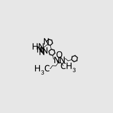 CCCCc1c(C)n(CCc2ccccc2)c(=O)n1Cc1ccc(-c2cccnc2-c2nnn[nH]2)cc1